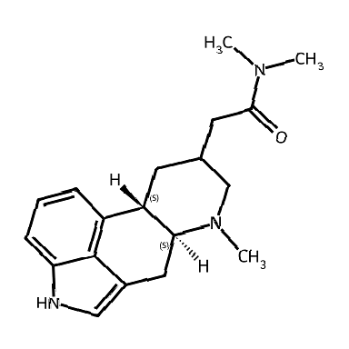 CN(C)C(=O)CC1C[C@H]2c3cccc4[nH]cc(c34)C[C@@H]2N(C)C1